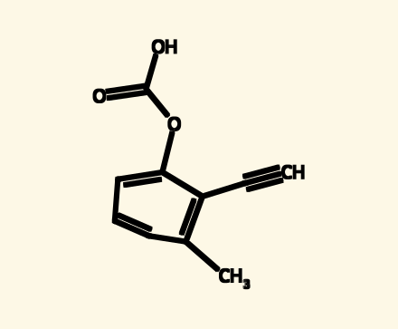 C#Cc1c(C)cccc1OC(=O)O